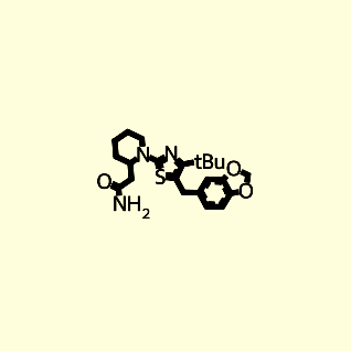 CC(C)(C)c1nc(N2CCCCC2CC(N)=O)sc1Cc1ccc2c(c1)OCO2